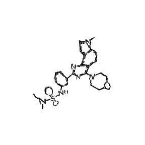 CN(C)S(=O)(=O)Nc1cccc(-c2nc(N3CCOCC3)c3ccc4c(ccn4C)c3n2)c1